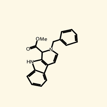 COC(=O)C1c2[nH]c3ccccc3c2C=CN1Cc1ccccc1